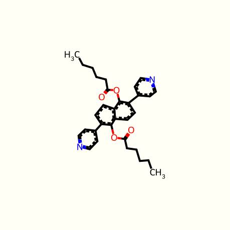 CCCCCC(=O)Oc1c(-c2ccncc2)ccc2c(OC(=O)CCCCC)c(-c3ccncc3)ccc12